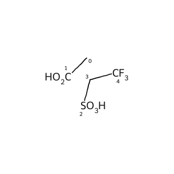 CC(=O)O.O=S(=O)(O)CC(F)(F)F